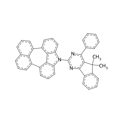 CC1(C)c2ccccc2-c2nc(-n3c4cccc5c4c4c(cccc43)-c3cccc4cccc-5c34)nc(-c3ccccc3)c21